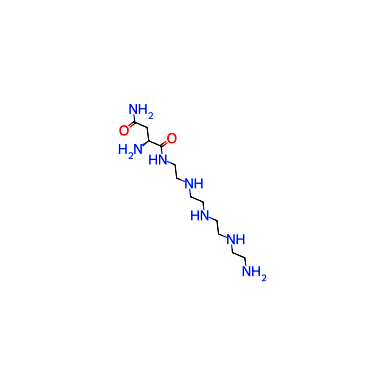 NCCNCCNCCNCCNC(=O)[C@@H](N)CC(N)=O